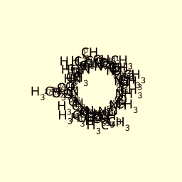 C/C=C/C[C@@H](C)[C@@H](O)[C@H]1C(=O)N[C@@H](CC)C(=O)N(C)[C@H](COCC(=O)OCC)C(=O)N(C)[C@@H](CC(C)(C)O)C(=O)N[C@H](C(C)C)C(=O)N(C)[C@H](CCC(C)C)C(=O)N[C@H](C)C(=O)N[C@@H](C)C(=O)N(C)[C@@H](CC(C)C)C(=O)N(C)[C@@H](CC(C)C)C(=O)N(C)[C@@H](C(C)C)C(=O)N1C